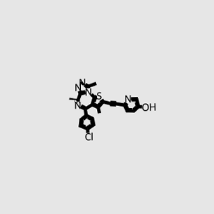 Cc1c(C#Cc2ccc(O)cn2)sc2c1C(c1ccc(Cl)cc1)=N[C@@H](C)c1nnc(C)n1-2